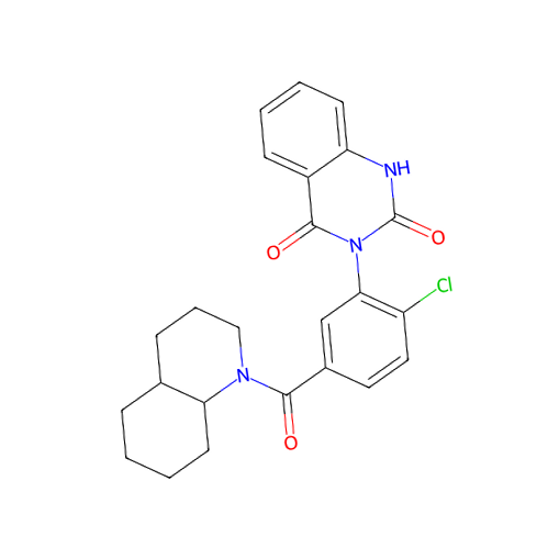 O=C(c1ccc(Cl)c(-n2c(=O)[nH]c3ccccc3c2=O)c1)N1CCCC2CCCCC21